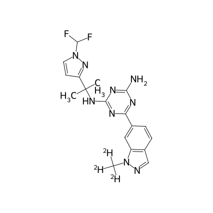 [2H]C([2H])([2H])n1ncc2ccc(-c3nc(N)nc(NC(C)(C)c4ccn(C(F)F)n4)n3)cc21